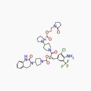 Nc1c(Cl)cc(C[C@@H](OC(=O)N2CCC(N3CCc4ccccc4NC3=O)CC2)C(=O)N2CCC(N3CCC[C@@H]3C(=O)OCCN3CCCC3=O)CC2)cc1C(F)(F)F